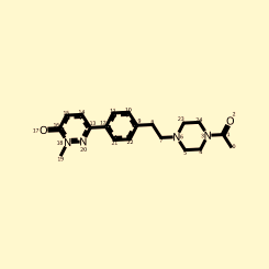 CC(=O)N1CCN(CCc2ccc(-c3ccc(=O)n(C)n3)cc2)CC1